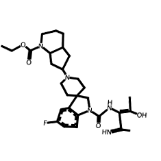 CCOC(=O)N1CCCC2CC(N3CCC4(CC3)CN(C(=O)N/C(C(C)=N)=C(\C)O)c3ccc(F)cc34)CC21